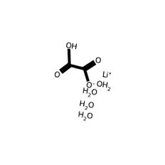 O.O.O.O.O=C([O-])C(=O)O.[Li+]